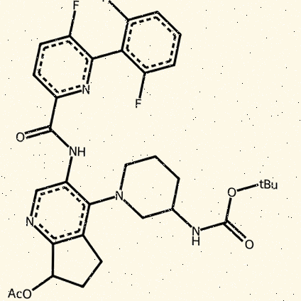 CC(=O)OC1CCc2c1ncc(NC(=O)c1ccc(F)c(-c3c(F)cccc3F)n1)c2N1CCCC(NC(=O)OC(C)(C)C)C1